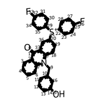 O=c1c2ccccc2n(Cc2cccc(O)c2)c2ccc([S+](c3ccc(F)cc3)c3ccc(F)cc3)cc12